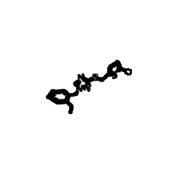 CCc1ccccc1Cn1cnc(SCc2ccc(Cl)s2)n1